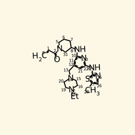 C=CC(=O)N1CCCC(Nc2cc(CN3CCN(CC)CC3)cc(Nc3ncc(C)s3)n2)C1